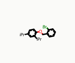 CC(C)c1ccc(OCc2ccccc2Br)c(C(C)C)c1